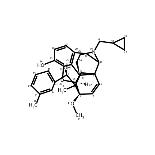 CO[C@]12C=CC3(CC1(C)[C@H](O)c1cccc(C)c1)C1Cc4ccc(O)c5c4[C@@]3(CCN1CC1CC1)[C@@H]2O5